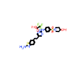 Nc1nc2ccc(/C=C/c3cnc(Nc4ccc(S(=O)(=O)N5CCC(O)CC5)cc4)nc3)cc2s1.O=C(O)C(F)(F)F